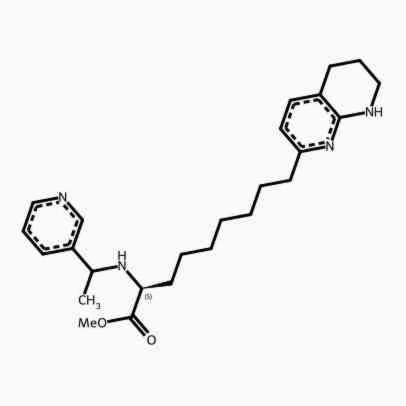 COC(=O)[C@H](CCCCCCCc1ccc2c(n1)NCCC2)NC(C)c1cccnc1